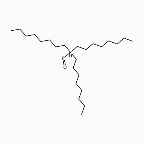 CCCCCCCC[PH](CCCCCCCC)(CCCCCCCC)P=O